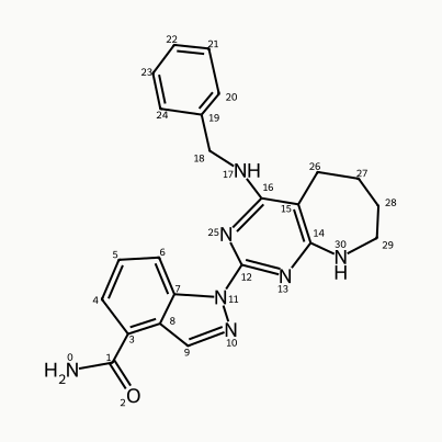 NC(=O)c1cccc2c1cnn2-c1nc2c(c(NCc3ccccc3)n1)CCCCN2